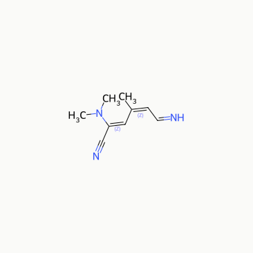 CC(=C/C=N)/C=C(/C#N)N(C)C